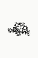 CC1(c2ccccc2)c2ccccc2-c2ccc(-c3cccc(-c4cccc(-c5nc(C6=CCCC=C6)nc(C6=CC=CCC6)n5)c4)c3)cc21